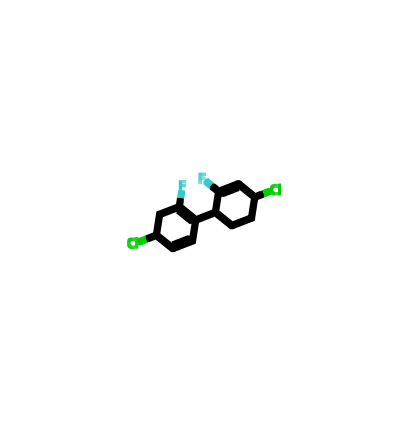 FC1=CC(Cl)CCC1C1=C(F)CC(Cl)C=C1